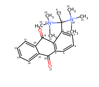 CCC(c1cccc2c1C(=O)c1ccccc1C2=O)([N+](C)(C)C)[N+](C)(C)C